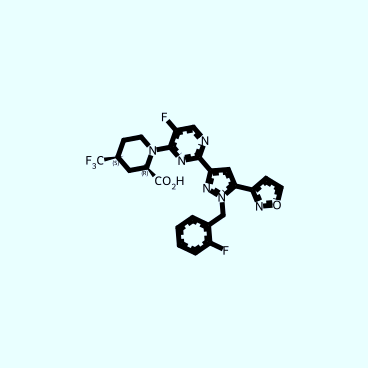 O=C(O)[C@H]1C[C@@H](C(F)(F)F)CCN1c1nc(-c2cc(-c3ccon3)n(Cc3ccccc3F)n2)ncc1F